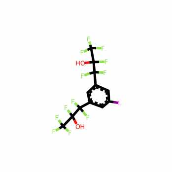 OC(F)(C(F)(F)F)C(F)(F)c1cc(I)cc(C(F)(F)C(O)(F)C(F)(F)F)c1